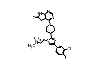 CN(C)CCn1cc(-c2ccc(F)c(Cl)c2)nc1C1CCN(c2ncnc3c2CC(=O)N3)CC1